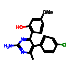 COc1ccc(-c2nc(N)nc(C)c2-c2ccc(Cl)cc2)c(O)c1